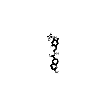 CC(=O)c1ccc2c(n1)CCC(C(=O)NCCc1cc(C)c(NS(C)(=O)=O)cc1F)C2